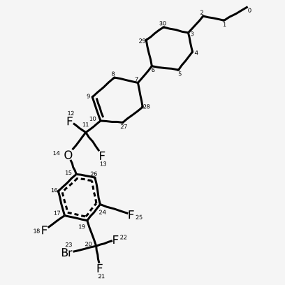 CCCC1CCC(C2CC=C(C(F)(F)Oc3cc(F)c(C(F)(F)Br)c(F)c3)CC2)CC1